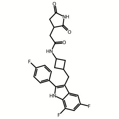 O=C1CC(CC(=O)NC2CC(Cc3c(-c4ccc(F)cc4)[nH]c4c(F)cc(F)cc34)C2)C(=O)N1